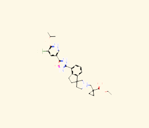 CCOC(=O)C1(CN2CCC3(CCc4c(-c5noc(-c6cnc(OC(C)C)c(Cl)c6)n5)cccc43)C2)CC1